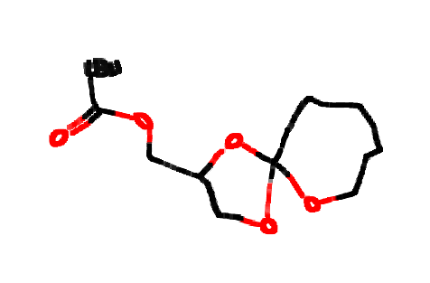 CC(C)(C)C(=O)OCC1COC2(CCCCCO2)O1